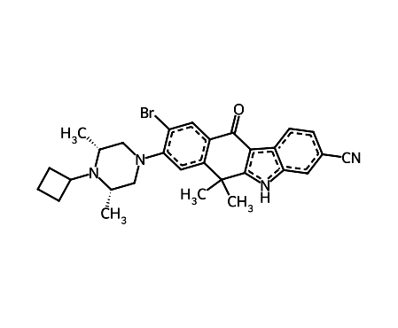 C[C@@H]1CN(c2cc3c(cc2Br)C(=O)c2c([nH]c4cc(C#N)ccc24)C3(C)C)C[C@H](C)N1C1CCC1